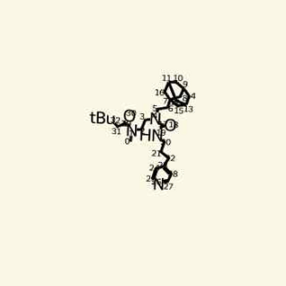 CN(CCN(CCC12CC3CC(CC(C3)C1)C2)C(=O)NCCCc1ccncc1)C(=O)CC(C)(C)C